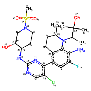 CC(N1c2c(N)c(F)cc(-c3nc(N[C@@H]4CCN(S(C)(=O)=O)C[C@H]4O)ncc3Cl)c2CC[C@H]1C)C(C)(C)O